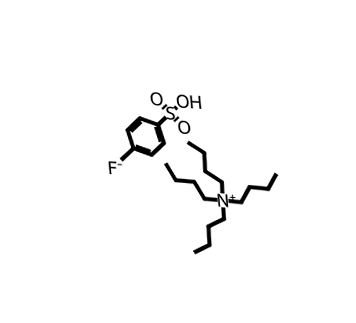 CCCC[N+](CCCC)(CCCC)CCCC.Cc1ccc(S(=O)(=O)O)cc1.[F-]